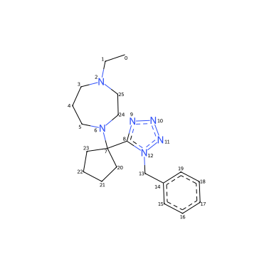 CCN1CCCN(C2(c3nnnn3Cc3ccccc3)CCCC2)CC1